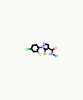 CCNC(=O)c1cnn(-c2ccc(Cl)cc2Cl)c1Br